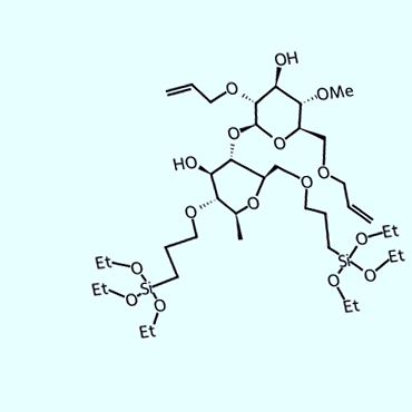 C=CCOC[C@H]1O[C@@H](O[C@H]2[C@H](O)[C@@H](OCCC[Si](OCC)(OCC)OCC)[C@H](C)O[C@@H]2COCCC[Si](OCC)(OCC)OCC)[C@H](OCC=C)[C@@H](O)[C@@H]1OC